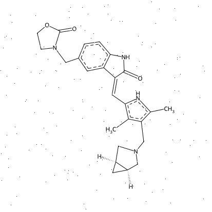 Cc1[nH]c(/C=C2\C(=O)Nc3ccc(CN4CCOC4=O)cc32)c(C)c1CN1C[C@H]2C[C@H]2C1